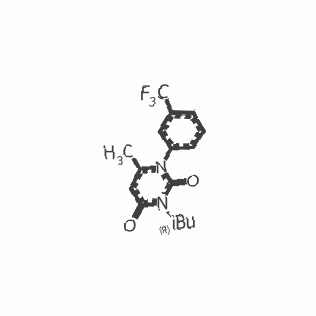 CC[C@@H](C)n1c(=O)cc(C)n(-c2cccc(C(F)(F)F)c2)c1=O